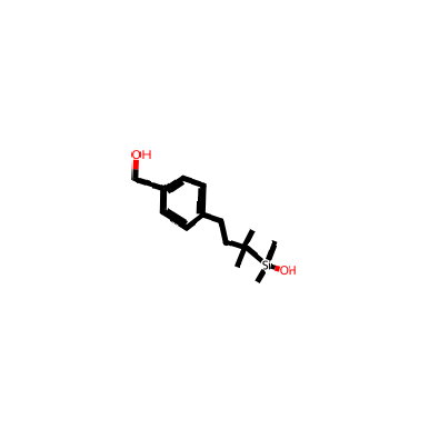 CC(C)(CCc1ccc(CO)cc1)[Si](C)(C)O